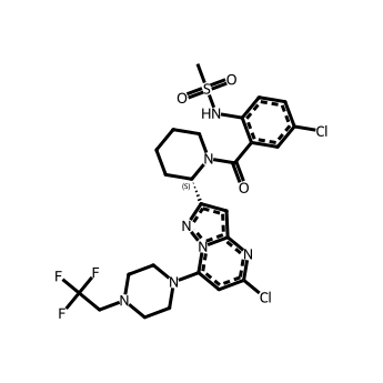 CS(=O)(=O)Nc1ccc(Cl)cc1C(=O)N1CCCC[C@H]1c1cc2nc(Cl)cc(N3CCN(CC(F)(F)F)CC3)n2n1